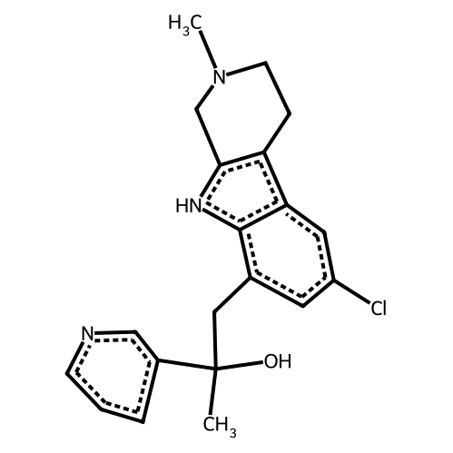 CN1CCc2c([nH]c3c(CC(C)(O)c4cccnc4)cc(Cl)cc23)C1